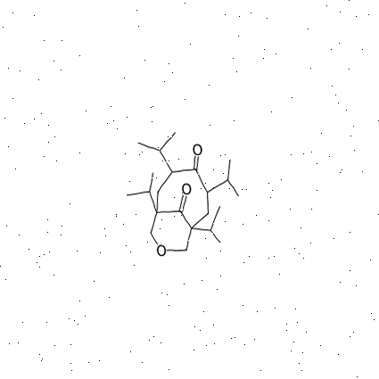 CC(C)C1CC2(C(C)C)COCC(C(C)C)(CC(C(C)C)C1=O)C2=O